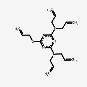 C=CCOc1nc(N(CC=C)CC=C)nc(N(CC=C)CC=C)n1